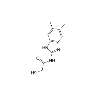 Cc1cc2nc(NC(=O)CS)[nH]c2cc1C